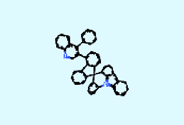 c1ccc(-c2c(-c3cccc4c3-c3ccccc3C43c4ccccc4-n4c5ccccc5c5cccc3c54)cnc3ccccc23)cc1